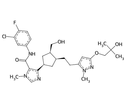 Cn1cnc([C@H]2C[C@@H](CO)[C@@H](CCc3cc(OCC(C)(C)O)nn3C)C2)c1C(=O)Nc1ccc(F)c(Cl)c1